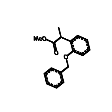 COC(=O)C(C)c1ccccc1OCc1ccccc1